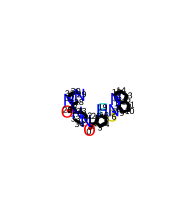 O=C(c1ccc(SNc2cccc3cccnc23)c(F)c1)N1CCN(C(=O)c2cnccn2)CC1